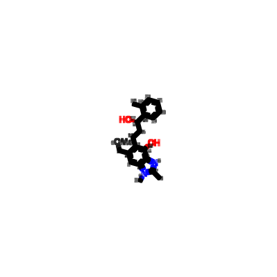 COCc1cc2c(nc(C)n2C)c(O)c1CC[C@@H](O)c1ccccc1C